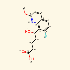 COc1ccc2ccc(F)c(C(O)CCCC(=O)O)c2n1